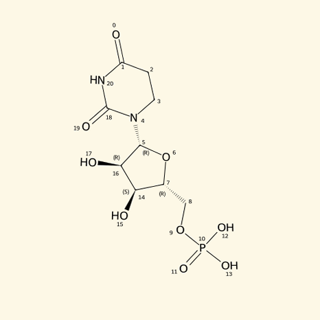 O=C1CCN([C@@H]2O[C@H](COP(=O)(O)O)[C@@H](O)[C@H]2O)C(=O)N1